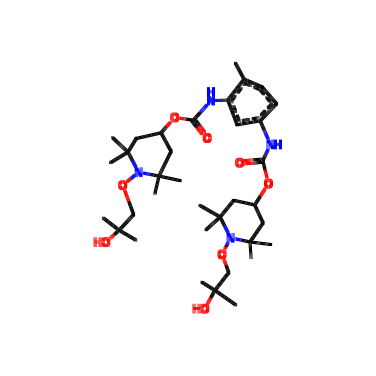 Cc1ccc(NC(=O)OC2CC(C)(C)N(OCC(C)(C)O)C(C)(C)C2)cc1NC(=O)OC1CC(C)(C)N(OCC(C)(C)O)C(C)(C)C1